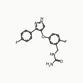 NC(=O)NCc1cc(Oc2c[nH]nc2-c2ccc(F)cc2)ccc1F